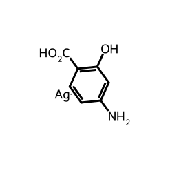 Nc1ccc(C(=O)O)c(O)c1.[Ag]